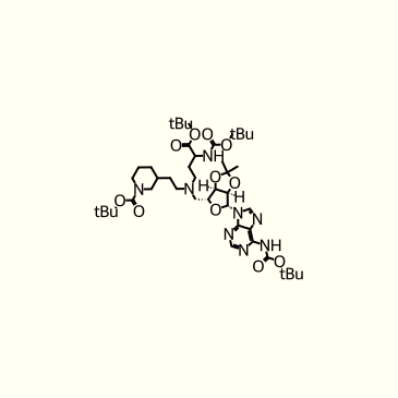 CC(C)(C)OC(=O)Nc1ncnc2c1ncn2[C@@H]1O[C@H](CN(CCC2CCCN(C(=O)OC(C)(C)C)C2)CCC(NC(=O)OC(C)(C)C)C(=O)OC(C)(C)C)[C@H]2OC(C)(C)O[C@H]21